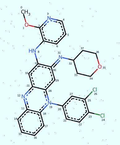 COc1ncccc1Nc1cc2nc3ccccc3n(-c3ccc(Cl)c(Cl)c3)c-2cc1=NC1CCOCC1